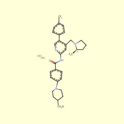 Cl.Cl.O=C(Nc1cc(CN2CCC[C@H]2C(F)(F)F)c(-c2ccc(C(F)(F)F)cc2)cn1)c1ccc(N2CCC(C(=O)O)CC2)cc1